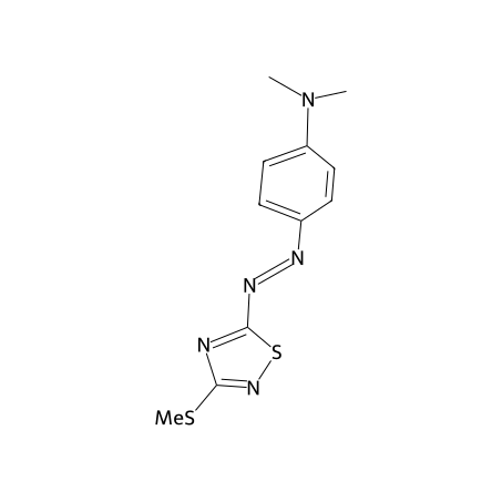 CSc1nsc(N=Nc2ccc(N(C)C)cc2)n1